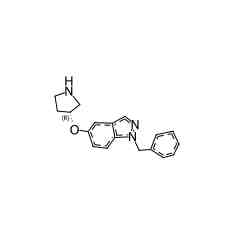 c1ccc(Cn2ncc3cc(O[C@@H]4CCNC4)ccc32)cc1